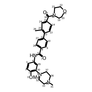 COc1ccc(NC(=O)c2ccc(-c3ccc(C(=O)N4CCOCC4)cc3C)cc2)cc1N1CCN(C)CC1